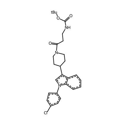 CC(C)(C)OC(=O)NCCC(=O)N1CCC(c2cn(-c3ccc(Cl)cc3)c3ccccc23)CC1